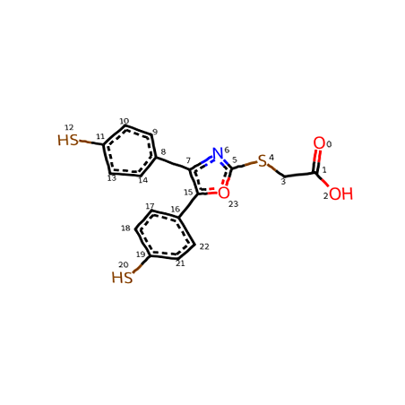 O=C(O)CSc1nc(-c2ccc(S)cc2)c(-c2ccc(S)cc2)o1